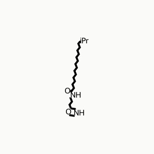 CC(C)CCCCCCCCCCCCCCC(=O)NCCCC1CNCCO1